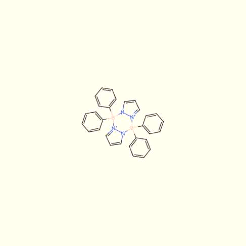 c1ccc([B-]2(c3ccccc3)n3ccc[n+]3[B-](c3ccccc3)(c3ccccc3)n3ccc[n+]32)cc1